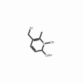 COC1C=CC(CC(C)=O)=C(C)N1C#N